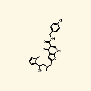 CN(Cc1cc2c(=O)c(C(=O)NCc3ccc(Cl)cc3)cn(C)c2o1)CC(O)c1cccn1C